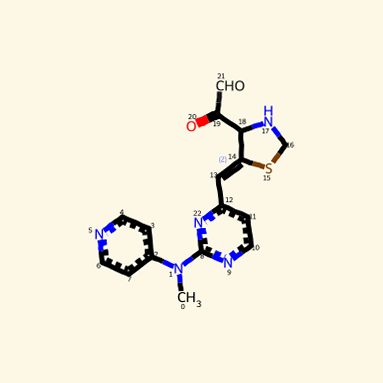 CN(c1ccncc1)c1nccc(/C=C2\SCNC2C(=O)C=O)n1